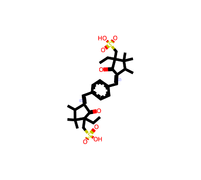 CCC1(CS(=O)(=O)O)C(=O)/C(=C\c2ccc(/C=C3\C(=O)C(CC)(CS(=O)(=O)O)C(C)(C)C3C)cc2)C(C)C1(C)C